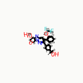 CC(C)(O)c1ccc(-c2nn3c4c(nc3cc2-c2ccccc2OC(F)F)C(O)COC4)cc1